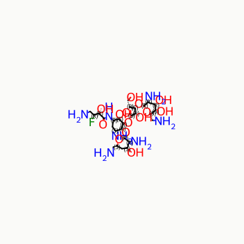 NC[C@@H]1C[C@H](O)[C@@H](N)[C@@H](O[C@H]2[C@H](O[C@@H]3O[C@H](CO)[C@@H](O[C@H]4O[C@@H](CN)[C@@H](O)[C@H](O)[C@H]4N)[C@H]3O)[C@@H](O)[C@H](NC(=O)[C@@H](O)[C@H](F)CN)C[C@@H]2N)O1